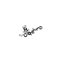 CN1CCCN(c2cc(F)c(-n3cc(C(=O)NCCCN4CCOCC4)nn3)cc2NC(=O)c2c[nH]c(=O)cc2C(F)(F)F)CC1